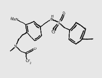 CNc1cc(NS(=O)(=O)c2ccc(C)cc2)ccc1CN(C)C(=O)C(F)(F)F